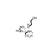 CC(C)[C@H](N)C(=O)O.O=[N+]([O-])O.OCCO